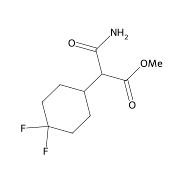 COC(=O)C(C(N)=O)C1CCC(F)(F)CC1